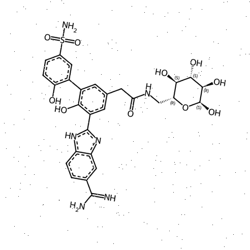 N=C(N)c1ccc2[nH]c(-c3cc(CC(=O)NC[C@H]4O[C@H](O)[C@H](O)[C@@H](O)[C@@H]4O)cc(-c4cc(S(N)(=O)=O)ccc4O)c3O)nc2c1